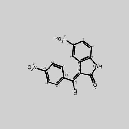 O=C1Nc2ccc(C(=O)O)cc2C1=C(Cl)c1ccc([N+](=O)[O-])cc1